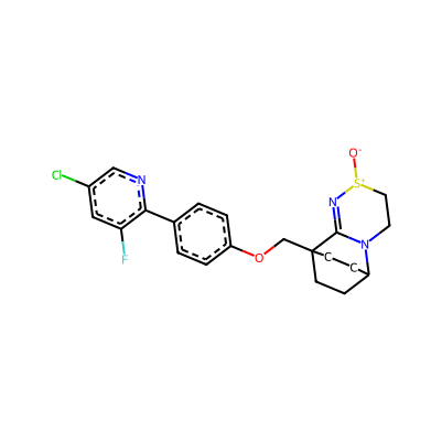 [O-][S+]1CCN2C(=N1)C1(COc3ccc(-c4ncc(Cl)cc4F)cc3)CCC2CC1